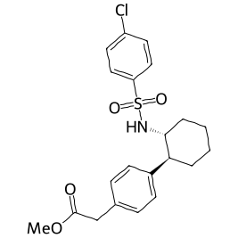 COC(=O)Cc1ccc([C@@H]2CCCC[C@H]2NS(=O)(=O)c2ccc(Cl)cc2)cc1